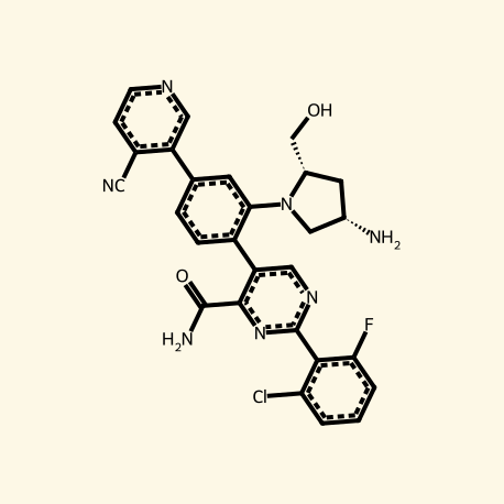 N#Cc1ccncc1-c1ccc(-c2cnc(-c3c(F)cccc3Cl)nc2C(N)=O)c(N2C[C@@H](N)C[C@H]2CO)c1